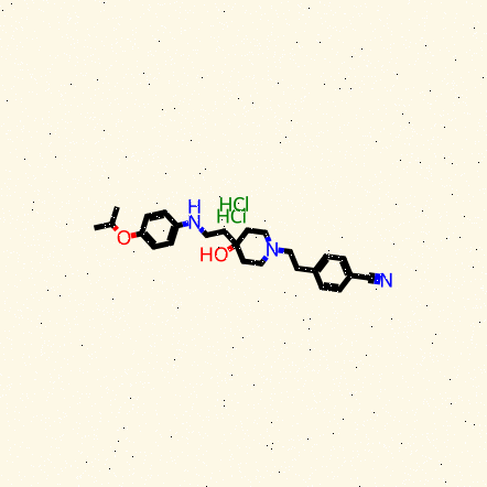 CC(C)Oc1ccc(NCCC2(O)CCN(CCc3ccc(C#N)cc3)CC2)cc1.Cl.Cl